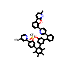 Cc1ccc2c(n1)oc1c(-c3ccc(-c4ccccc4-c4cc(OS(=O)(=O)C(F)(F)F)cc(-c5c(C)c(C)c(C)c(C)c5-c5ccc(-c6cc(C(C)(C)C)ccn6)cc5)c4)cn3)cccc12